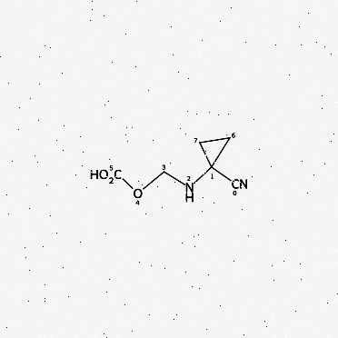 N#CC1(NCOC(=O)O)CC1